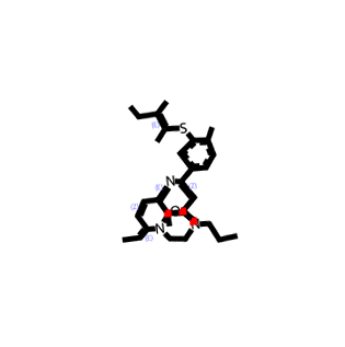 C\C=C(/C=C\C(=N\C(=C/C(C)=O)c1ccc(C)c(S/C(C)=C(\C)CC)c1)C(C)CC)N1CCN(CCC)CC1